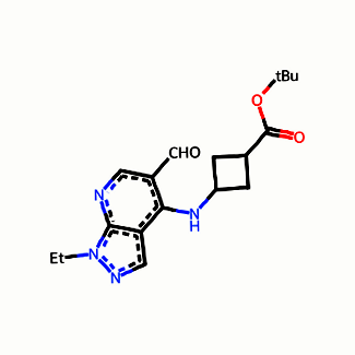 CCn1ncc2c(NC3CC(C(=O)OC(C)(C)C)C3)c(C=O)cnc21